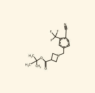 CC(C)(C)OC(=O)C1CN(Cc2ccc(C#N)c(C(F)(F)F)c2)C1